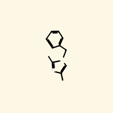 Cc1cn(Cc2ccccc2)c(C)n1